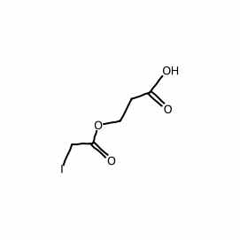 O=C(O)CCOC(=O)CI